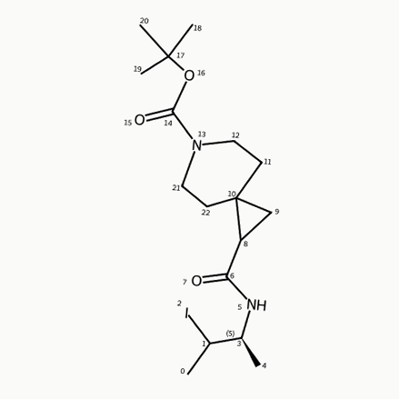 CC(I)[C@H](C)NC(=O)C1CC12CCN(C(=O)OC(C)(C)C)CC2